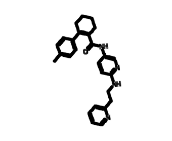 Cc1ccc(C2=C(C(=O)Nc3ccc(NCCc4ccccn4)nc3)CCCC2)cc1